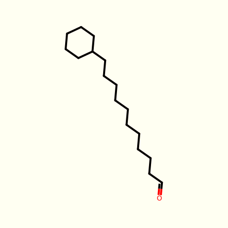 O=CCCCCCCCCCCC1CCCCC1